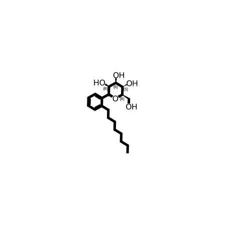 CCCCCCCCc1ccccc1[C]1O[C@H](CO)[C@@H](O)[C@H](O)[C@@H]1O